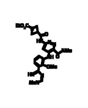 CCOC(=O)N1CC(C(=O)Nc2cc(Nc3cccc(C(=N)/N=C\NC)c3OC)c(C(=O)NC)nn2)C1